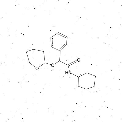 O=C(NC1CCCCC1)C(OC1CCCCO1)c1ccccc1